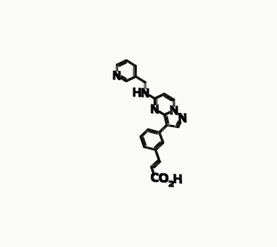 O=C(O)C=Cc1cccc(-c2cnn3ccc(NCc4cccnc4)nc23)c1